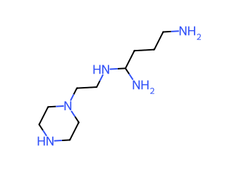 NCCCC(N)NCCN1CCNCC1